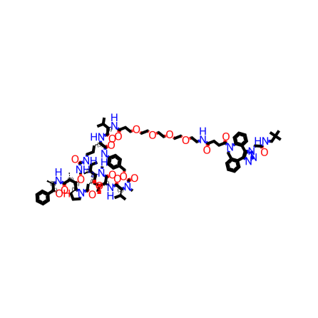 CC[C@H](C)[C@@H]([C@@H](CC(=O)N1CCC[C@H]1[C@H](OC)[C@@H](C)C(=O)N[C@H](C)[C@@H](O)c1ccccc1)OC)N(C)C(=O)[C@@H](NC(=O)[C@H](C(C)C)N(C)C(=O)OCc1ccc(NC(=O)[C@H](CCCNC(N)=O)NC(=O)[C@@H](NC(=O)CCOCCOCCOCCOCCNC(=O)CCC(=O)N2Cc3ccccc3-c3nnn(CC(=O)NCC(C)(C)C)c3-c3ccccc32)C(C)C)cc1)C(C)C